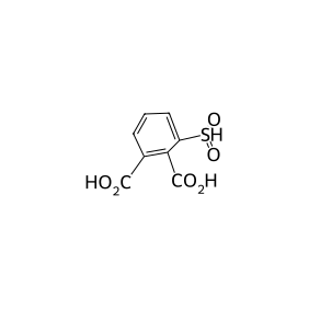 O=C(O)c1cccc([SH](=O)=O)c1C(=O)O